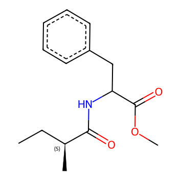 CC[C@H](C)C(=O)NC(Cc1ccccc1)C(=O)OC